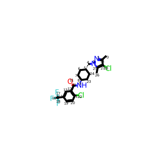 Cc1nn(C[C@H]2CC[C@H](NC(=O)c3cc(C(F)(F)F)ccc3Cl)CC2)c(C)c1Cl